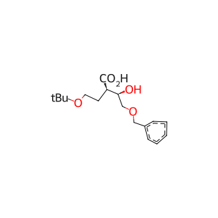 CC(C)(C)OCC[C@@H](C(=O)O)[C@@H](O)COCc1ccccc1